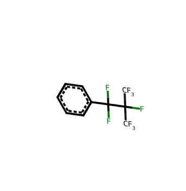 FC(F)(F)C(F)(C(F)(F)F)C(F)(F)c1ccccc1